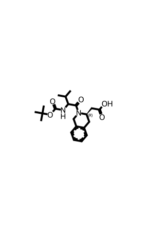 CC(C)C(NC(=O)OC(C)(C)C)C(=O)N1Cc2ccccc2C[C@@H]1CC(=O)O